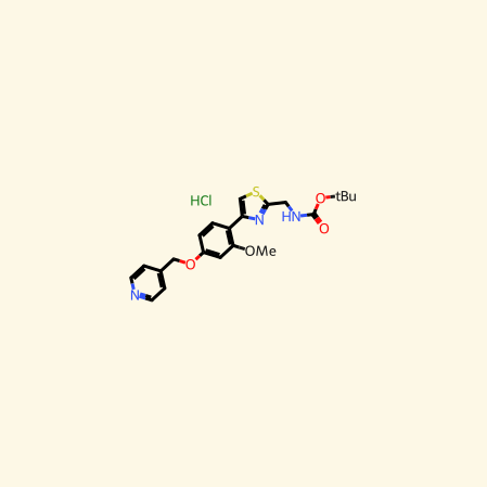 COc1cc(OCc2ccncc2)ccc1-c1csc(CNC(=O)OC(C)(C)C)n1.Cl